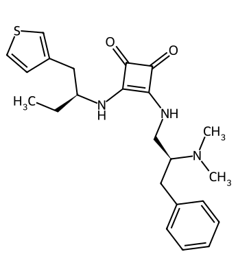 CC[C@@H](Cc1ccsc1)Nc1c(NC[C@H](Cc2ccccc2)N(C)C)c(=O)c1=O